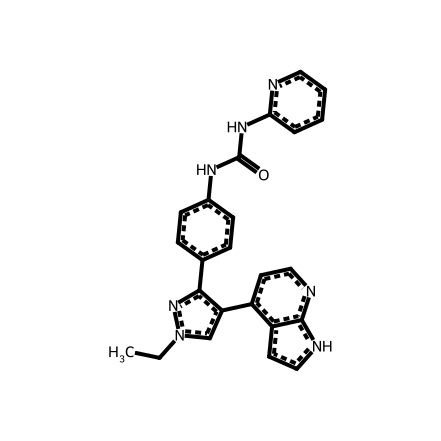 CCn1cc(-c2ccnc3[nH]ccc23)c(-c2ccc(NC(=O)Nc3ccccn3)cc2)n1